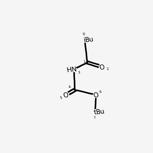 CCC(C)C(=O)NC(=O)OC(C)(C)C